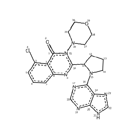 O=c1c2c(Cl)cccc2nc(C2CCCN2c2ncnc3[nH]cnc23)n1N1CCOCC1